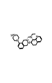 CCN(C[C@H]1Cc2c(cccc2N2CCNCC2)CN1)[C@H]1CCCc2cccnc21